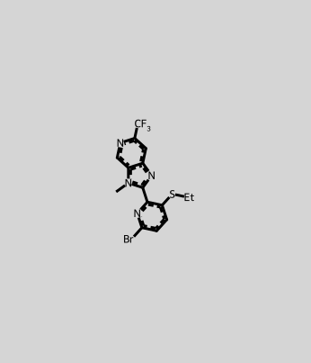 CCSc1ccc(Br)nc1-c1nc2cc(C(F)(F)F)ncc2n1C